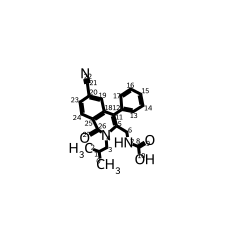 CC(C)Cn1c(CNC(=O)O)c(-c2ccccc2)c2cc(C#N)ccc2c1=O